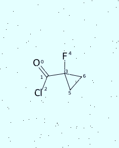 O=C(Cl)C1(F)CC1